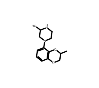 CC1COc2cccc(N3CCNC(O)C3)c2O1